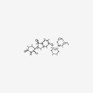 CCN(CC)[C@@H]1CCCC[C@@H]1Oc1ccc2c(c1)CN(C1CCC(=O)NC1=O)C2=O